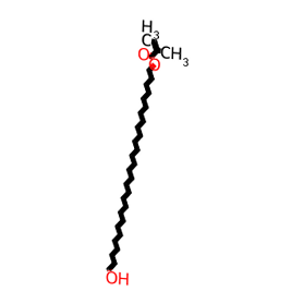 CC=C(C)C(=O)OCCCCCCCCCCCCCCCCCCCCCCCCCCCCCO